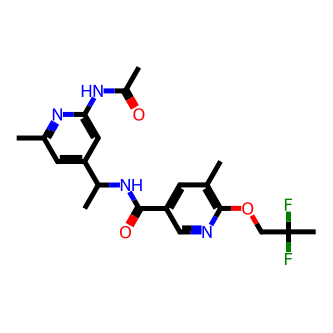 CC(=O)Nc1cc(C(C)NC(=O)c2cnc(OCC(C)(F)F)c(C)c2)cc(C)n1